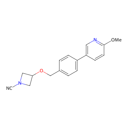 COc1ccc(-c2ccc(COC3CN(C#N)C3)cc2)cn1